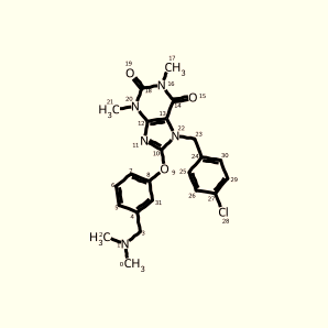 CN(C)Cc1cccc(Oc2nc3c(c(=O)n(C)c(=O)n3C)n2Cc2ccc(Cl)cc2)c1